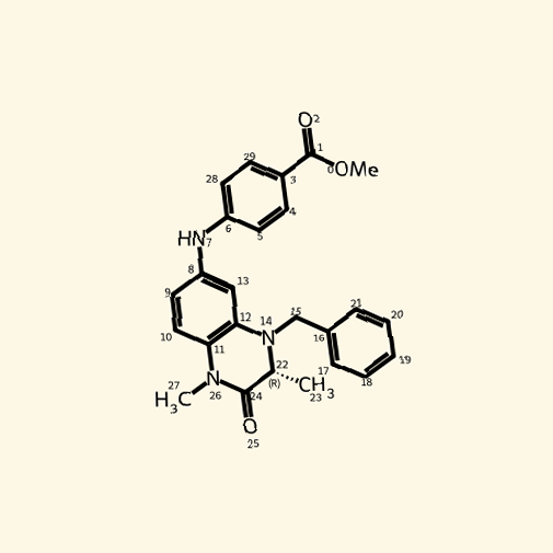 COC(=O)c1ccc(Nc2ccc3c(c2)N(Cc2ccccc2)[C@H](C)C(=O)N3C)cc1